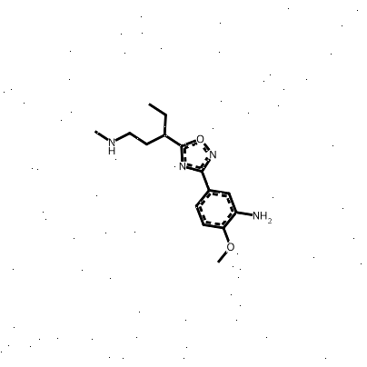 CCC(CCNC)c1nc(-c2ccc(OC)c(N)c2)no1